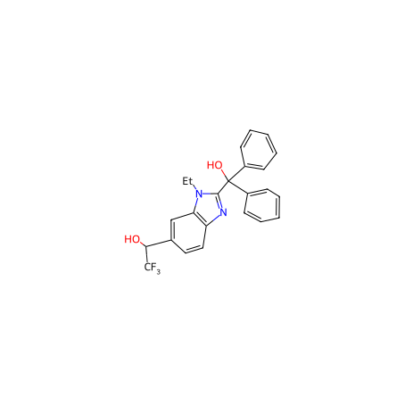 CCn1c(C(O)(c2ccccc2)c2ccccc2)nc2ccc(C(O)C(F)(F)F)cc21